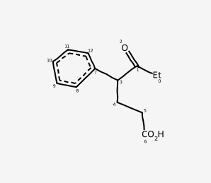 CCC(=O)C(CCC(=O)O)c1ccccc1